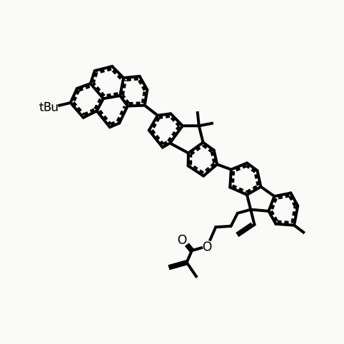 C=CC1(CCCOC(=O)C(=C)C)c2cc(C)ccc2-c2ccc(-c3ccc4c(c3)C(C)(C)c3cc(-c5ccc6ccc7cc(C(C)(C)C)cc8ccc5c6c78)ccc3-4)cc21